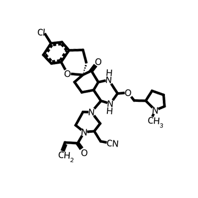 C=CC(=O)N1CCN(C2NC(OCC3CCCN3C)NC3C(=O)[C@@]4(CCc5cc(Cl)ccc5O4)CCC32)CC1CC#N